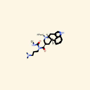 CCCCCN1C[C@H](C(=O)N(CCCN(C)C)C(=O)NCC)C[C@@H]2c3cccc4[nH]cc(c34)C[C@H]21